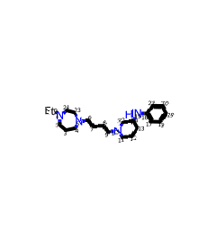 CCN1CCCN(CCCCN2CCCC(Nc3ccccc3)C2)CC1